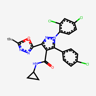 CC(C)(C)c1nnc(-c2nn(-c3ccc(Cl)cc3Cl)c(-c3ccc(Cl)cc3)c2C(=O)NC2CC2)o1